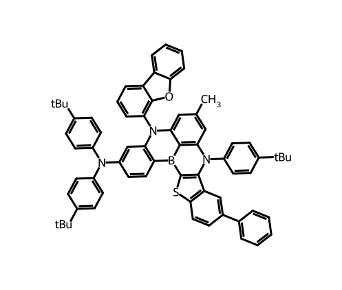 Cc1cc2c3c(c1)N(c1cccc4c1oc1ccccc14)c1cc(N(c4ccc(C(C)(C)C)cc4)c4ccc(C(C)(C)C)cc4)ccc1B3c1sc3ccc(-c4ccccc4)cc3c1N2c1ccc(C(C)(C)C)cc1